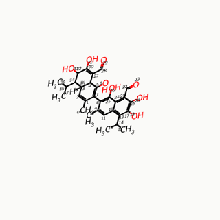 CC1=C[C@H]2C(C(O)=C1c1c(C)cc3c(C(C)C)c(O)c(O)c(C=O)c3c1O)C(C=O)=C(O)C(O)C2C(C)C